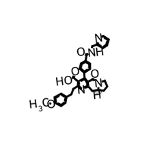 COc1ccc(CCc2nc3c(c(-c4ccc(C(=O)NCc5ccccn5)cc4)c2C(=O)O)C(=O)N2CCC[C@H]2C3)cc1